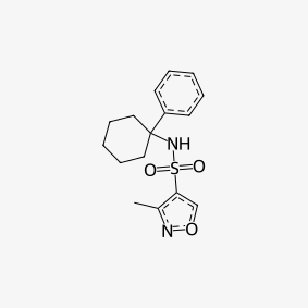 Cc1nocc1S(=O)(=O)NC1(c2ccccc2)CCCCC1